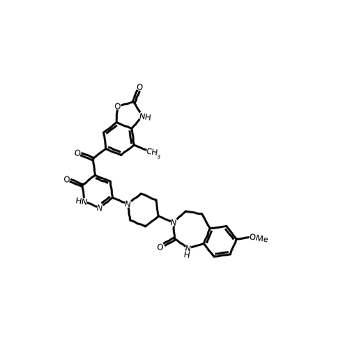 COc1ccc2c(c1)CCN(C1CCN(c3cc(C(=O)c4cc(C)c5[nH]c(=O)oc5c4)c(=O)[nH]n3)CC1)C(=O)N2